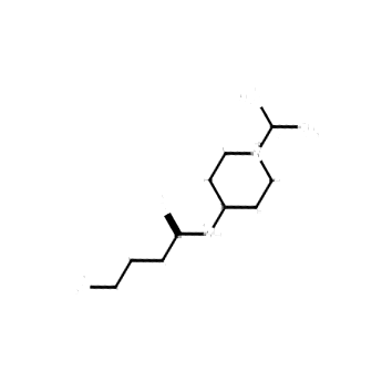 CCCCC(=O)NC1CCN(C(C)C)CC1